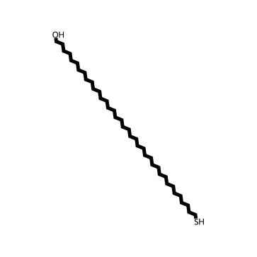 OCCCCCCCCCCCCCCCCCCCCCCCCCCCCCCCCCCCCCCS